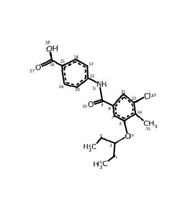 CCC(CC)Oc1cc(C(=O)Nc2ccc(C(=O)O)cc2)cc(Cl)c1C